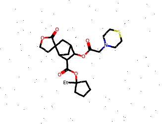 CCC1(OC(=O)C2C(OC(=O)CN3CCSCC3)C3CC2C2(CCOC2=O)C3)CCCC1